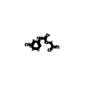 CCC(Cl)COC(=O)Nc1cccc(Cl)c1